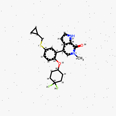 Cn1cc(-c2cc(SCC3CC3)ccc2OC2CCC(F)(F)CC2)c2cc[nH]c2c1=O